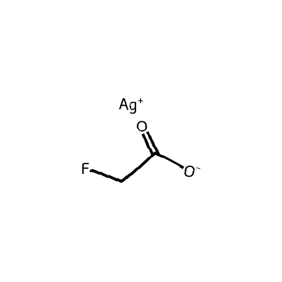 O=C([O-])CF.[Ag+]